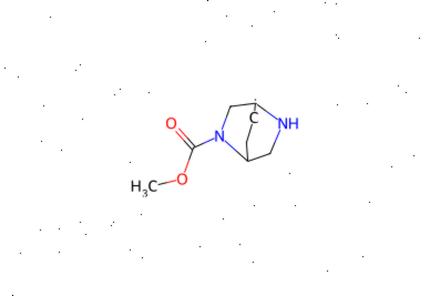 COC(=O)N1C[C]2CCC1CN2